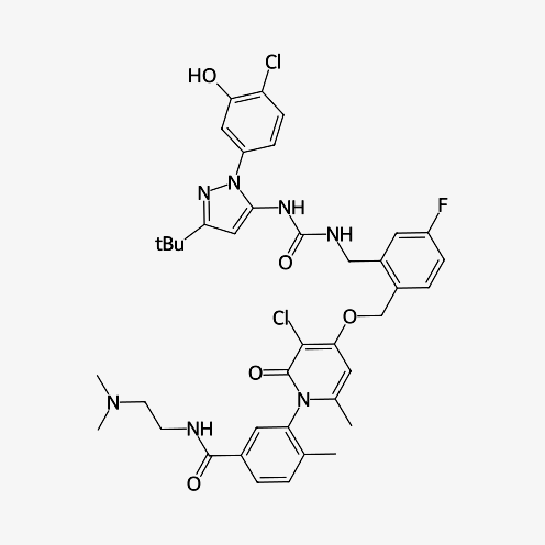 Cc1ccc(C(=O)NCCN(C)C)cc1-n1c(C)cc(OCc2ccc(F)cc2CNC(=O)Nc2cc(C(C)(C)C)nn2-c2ccc(Cl)c(O)c2)c(Cl)c1=O